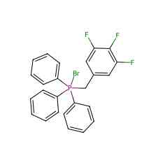 Fc1cc(CP(Br)(c2ccccc2)(c2ccccc2)c2ccccc2)cc(F)c1F